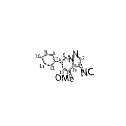 [C-]#[N+]c1cnn2cc(-c3ccccc3)cc(OC)c12